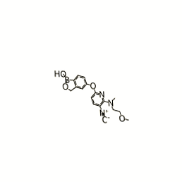 [C-]#[N+]c1ccc(Oc2ccc3c(c2)COB3O)nc1N(C)CCOC